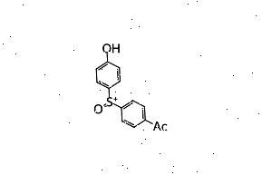 CC(=O)c1ccc([S+]([O-])c2ccc(O)cc2)cc1